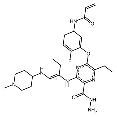 C=CC(=O)NC1C=C(Oc2nc(N/C(=C/NC3CCN(C)CC3)CC)c(C(=O)NN)nc2CC)C(F)=CC1